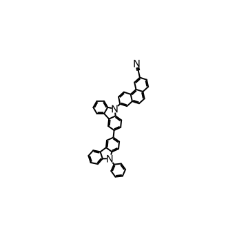 N#Cc1ccc2ccc3cc(-n4c5ccccc5c5cc(-c6ccc7c(c6)c6ccccc6n7-c6ccccc6)ccc54)ccc3c2c1